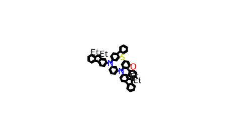 CCC1(CC)c2ccccc2-c2ccc(N(c3cccc(N(c4ccc5c(c4)C(CC)(CC)c4ccccc4-5)c4cccc5oc6ccccc6c45)c3)c3ccc4c(c3)sc3ccccc34)cc21